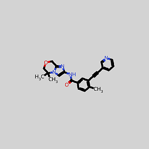 Cc1ccc(C(=O)Nc2cn3c(n2)COCC3(C)C)cc1C#Cc1cccnc1